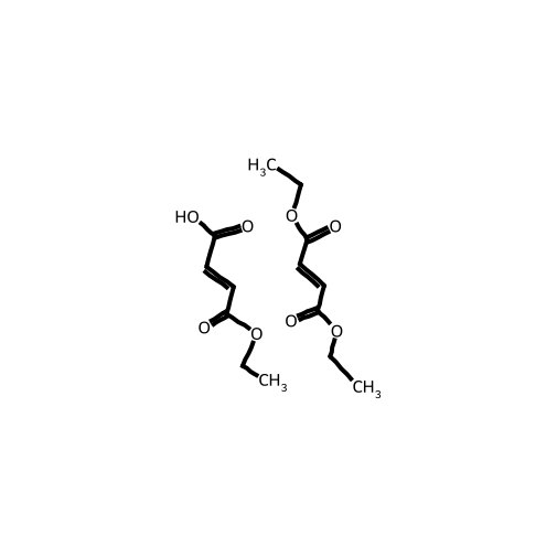 CCOC(=O)C=CC(=O)O.CCOC(=O)C=CC(=O)OCC